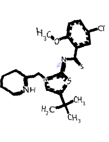 COc1ccc(Cl)cc1C(=S)/N=c1\sc(C(C)(C)C)cn1CC1CCCCN1